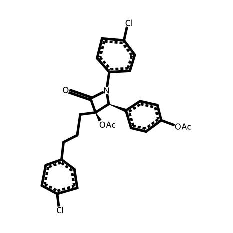 CC(=O)Oc1ccc([C@@H]2N(c3ccc(Cl)cc3)C(=O)[C@]2(CCCc2ccc(Cl)cc2)OC(C)=O)cc1